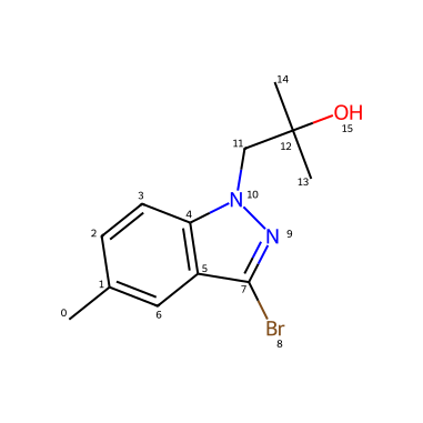 Cc1ccc2c(c1)c(Br)nn2CC(C)(C)O